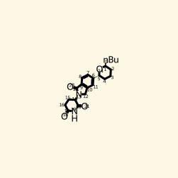 CCCC[C@H]1CCC[C@H](c2ccc3c(c2)CN(C2CCC(=O)NC2=O)C3=O)O1